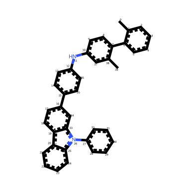 Cc1ccccc1-c1ccc(Nc2ccc(-c3ccc4c5ccccc5n(-c5ccccc5)c4c3)cc2)cc1C